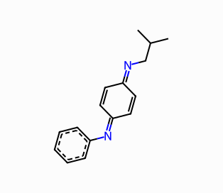 CC(C)CN=C1C=CC(=Nc2ccccc2)C=C1